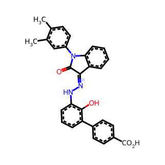 Cc1ccc(N2C(=O)/C(=N\Nc3cccc(-c4ccc(C(=O)O)cc4)c3O)c3ccccc32)cc1C